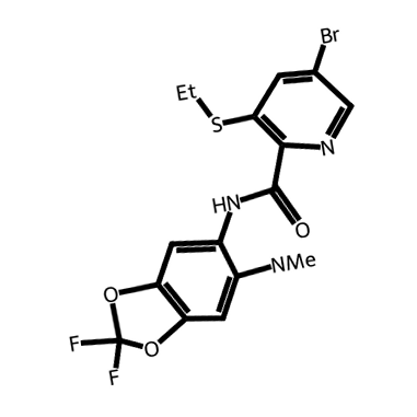 CCSc1cc(Br)cnc1C(=O)Nc1cc2c(cc1NC)OC(F)(F)O2